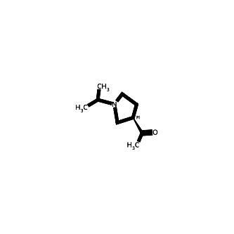 CC(=O)[C@@H]1CCN(C(C)C)C1